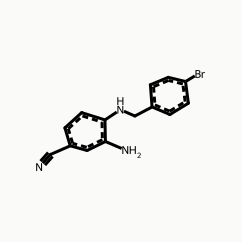 N#Cc1ccc(NCc2ccc(Br)cc2)c(N)c1